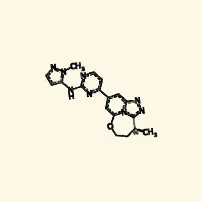 C[C@H]1CCOc2cc(-c3ccnc(Nc4ccnn4C)n3)cc3nnc1n23